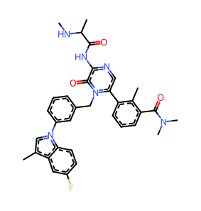 CNC(C)C(=O)Nc1ncc(-c2cccc(C(=O)N(C)C)c2C)n(Cc2cccc(-n3cc(C)c4cc(F)ccc43)c2)c1=O